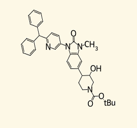 Cn1c(=O)n(-c2ccc(C(c3ccccc3)c3ccccc3)nc2)c2ccc(C3CCN(C(=O)OC(C)(C)C)CC3O)cc21